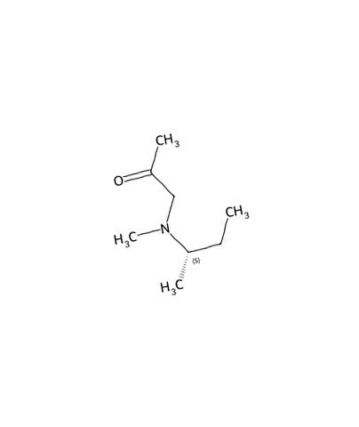 CC[C@H](C)N(C)CC(C)=O